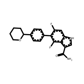 NC(=O)c1c[nH]c2cc(F)c(-c3ccc(C4CCCCO4)cc3)c(F)c12